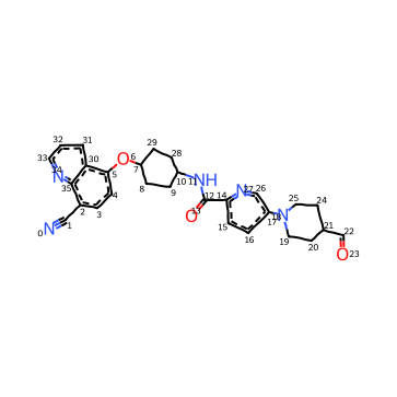 N#Cc1ccc(OC2CCC(NC(=O)c3ccc(N4CCC(C=O)CC4)cn3)CC2)c2cccnc12